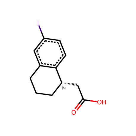 O=C(O)C[C@@H]1CCCc2cc(I)ccc21